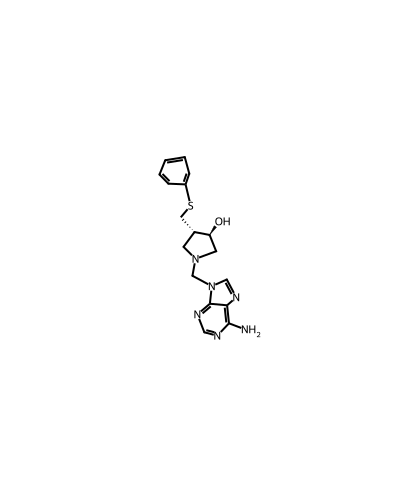 Nc1ncnc2c1ncn2CN1C[C@H](CSc2ccccc2)[C@@H](O)C1